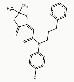 CC1(C)OC(=O)/C(=C\C(=O)N(CCCc2ccccc2)c2ccc(Cl)cc2)O1